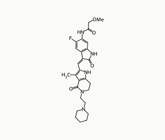 COCC(=O)Nc1cc2c(cc1F)C(=Cc1[nH]c3c(c1C)C(=O)N(CCN1CCCCC1)CC3)C(=O)N2